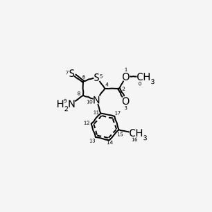 COC(=O)C1SC(=S)C(N)N1c1cccc(C)c1